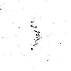 CC=CC=[CH][Sr][CH]=CC=CC